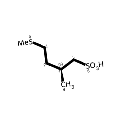 CSCC[C@H](C)CS(=O)(=O)O